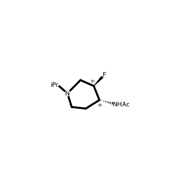 CC(=O)N[C@@H]1CCN(C(C)C)C[C@H]1F